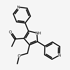 COCc1c(-c2ccncc2)[nH]c(-c2ccncc2)c1C(C)=O